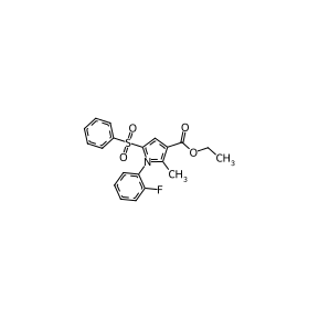 CCOC(=O)c1cc(S(=O)(=O)c2ccccc2)n(-c2ccccc2F)c1C